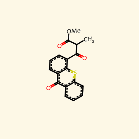 COC(=O)C(C)C(=O)c1cccc2c(=O)c3ccccc3sc12